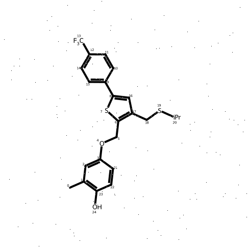 Cc1cc(OCc2sc(-c3ccc(C(F)(F)F)cc3)cc2CSC(C)C)ccc1O